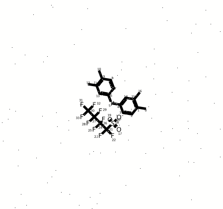 Cc1ccc([I+]c2ccc(C)c(C)c2)cc1C.O=S(=O)([O-])C(F)(F)C(F)(F)C(F)(F)C(F)(F)F